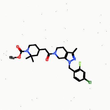 Cc1nn(Cc2ccc(Cl)cc2F)c2c1CCN(C(=O)CC1CCN(C(=O)OC(C)(C)C)C(C)(C)C1)C2